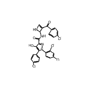 O=C(C1=CNC1NC(=O)c1nn(-c2ccc(Cl)cc2Cl)c(-c2ccc(Cl)cc2)c1O)c1ccc(Cl)cc1